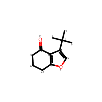 CC(C)(C)c1coc2c1C(=O)CCC2